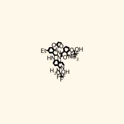 CCc1cc(O[C@@H]2CCOC2)c(F)c(C(Nc2ccc3c(N)nccc3c2)c2nc(-c3ccccc3C(N)=O)c[nH]2)c1.O=C(O)C(F)(F)F.O=C(O)C(F)(F)F